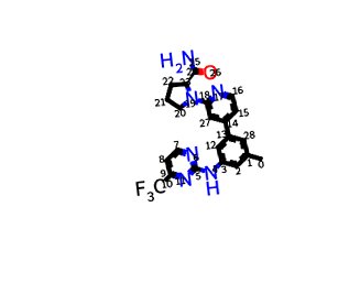 Cc1cc(Nc2nccc(C(F)(F)F)n2)cc(-c2ccnc(N3CCC[C@H]3C(N)=O)c2)c1